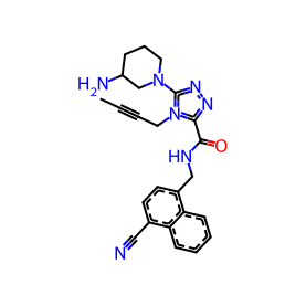 CC#CCn1c(C(=O)NCc2ccc(C#N)c3ccccc23)nnc1N1CCCC(N)C1